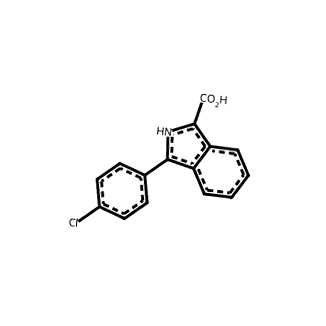 O=C(O)c1[nH]c(-c2ccc(Cl)cc2)c2ccccc12